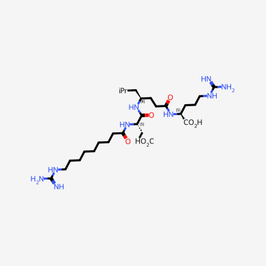 CC(C)C[C@@H](CCC(=O)N[C@@H](CCCNC(=N)N)C(=O)O)NC(=O)[C@H](CC(=O)O)NC(=O)CCCCCCCCNC(=N)N